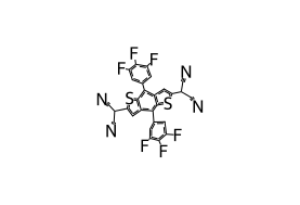 N#CC(C#N)c1cc2c(-c3cc(F)c(F)c(F)c3)c3sc(C(C#N)C#N)cc3c(-c3cc(F)c(F)c(F)c3)c2s1